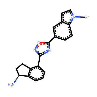 CC(C)n1ccc2cc(-c3nc(-c4cccc5c4CC[C@@H]5N)no3)ccc21